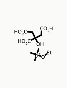 CCO[N+](C)(C)C.O=C(O)CC(O)(CC(=O)O)C(=O)O